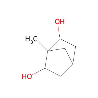 CC12CC(CC1O)CC2O